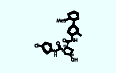 CSc1ccccc1-c1ccc(NC(=O)[C@H]2C[C@@H](O)CN2C(=O)Nc2ccc(Cl)cc2)c(C)c1